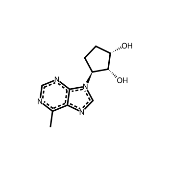 Cc1ncnc2c1ncn2[C@H]1CC[C@H](O)[C@@H]1O